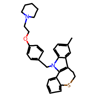 Cc1ccc2c(c1)c1c(n2Cc2ccc(OCCN3CCCCC3)cc2)-c2ccccc2SCC1